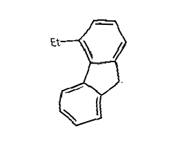 CCc1cccc2c1-c1ccccc1[CH]2